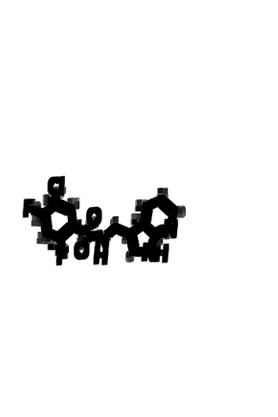 O=S(=O)(NCc1c[nH]c2ncccc12)c1cc(Cl)c(F)cc1F